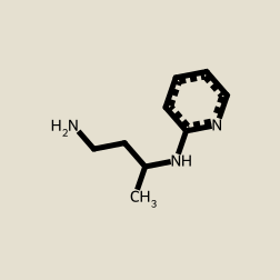 CC(CCN)Nc1ccccn1